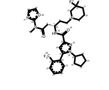 CN(C(=O)C[C@H](CCN1CCCC(F)(F)C1)NC(=O)c1cc(-c2ccccc2C(F)(F)F)n(C2CCCC2)n1)c1ncco1